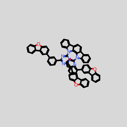 c1cc(-c2ccc3oc4ccccc4c3c2)cc(-c2nc(-c3cccc(-c4ccc5oc6ccccc6c5c4)c3)nc(-n3c4ccccc4c4ccc5c6ccccc6n(-c6cccc(-c7ccc8oc9ccccc9c8c7)n6)c5c43)n2)c1